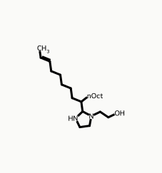 CC=CCCCCCC(CCCCCCCC)C1NCCN1CCO